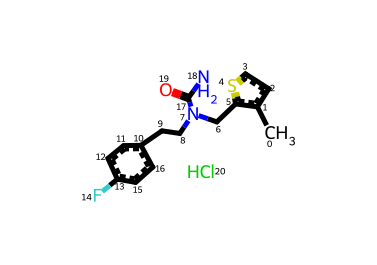 Cc1ccsc1CN(CCc1ccc(F)cc1)C(N)=O.Cl